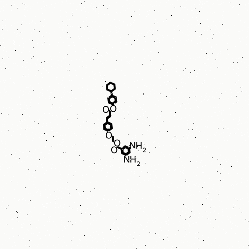 Nc1cc(N)cc(C(=O)OCCOc2ccc(C=CC(=O)Oc3ccc(C4CCCCC4)cc3)cc2)c1